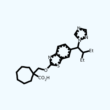 CCC(CC)C(c1ccc2nc(OCC3(C(=O)O)CCCCCC3)sc2c1)n1cncn1